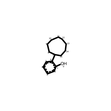 Oc1ccccc1C1CCCCCCCC1